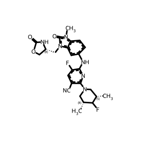 C[C@@H]1CN(c2nc(Nc3ccc4c(c3)n(C[C@@H]3COC(=O)N3)c(=O)n4C)c(F)cc2C#N)C[C@H](C)C1F